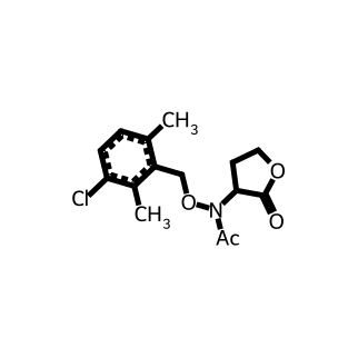 CC(=O)N(OCc1c(C)ccc(Cl)c1C)C1CCOC1=O